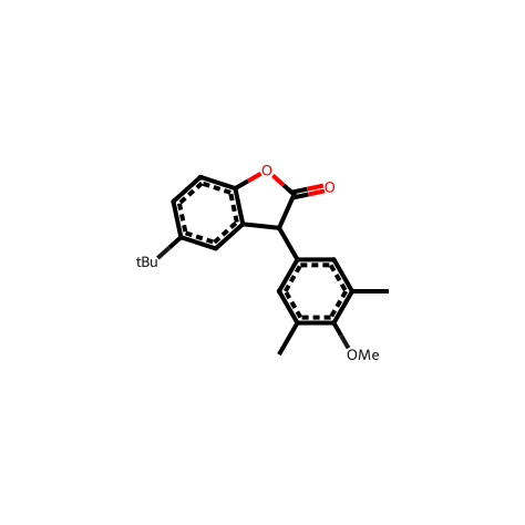 COc1c(C)cc(C2C(=O)Oc3ccc(C(C)(C)C)cc32)cc1C